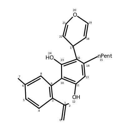 C=C(C)c1ccc(C)cc1-c1c(O)cc(CCCCC)c(C2C=COC=C2)c1O